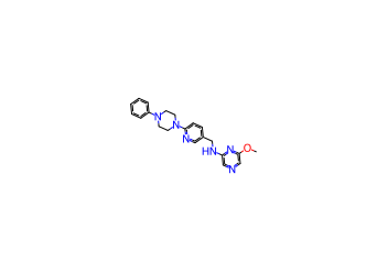 COc1cncc(NCc2ccc(N3CCN(c4ccccc4)CC3)nc2)n1